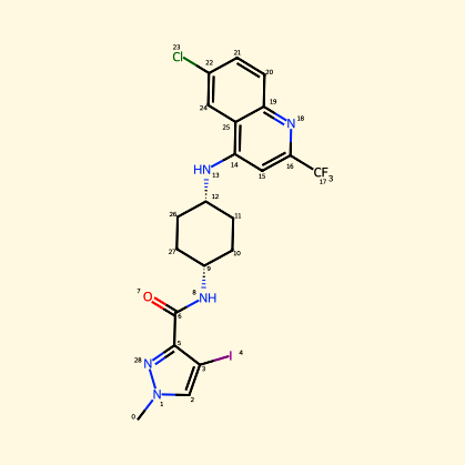 Cn1cc(I)c(C(=O)N[C@H]2CC[C@@H](Nc3cc(C(F)(F)F)nc4ccc(Cl)cc34)CC2)n1